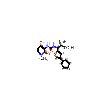 Cn1ccc(O)c(NC(=O)NC(CC(=O)O)c2cc(-c3ccccc3)cs2)c1=O.[NaH]